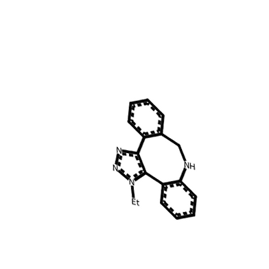 CCn1nnc2c1-c1ccccc1NCc1ccccc1-2